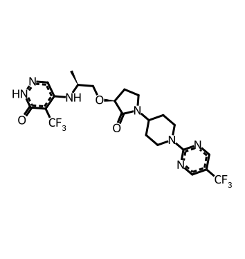 C[C@@H](CO[C@H]1CCN(C2CCN(c3ncc(C(F)(F)F)cn3)CC2)C1=O)Nc1cn[nH]c(=O)c1C(F)(F)F